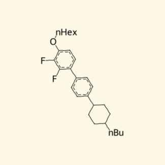 CCCCCCOc1ccc(-c2ccc(C3CCC(CCCC)CC3)cc2)c(F)c1F